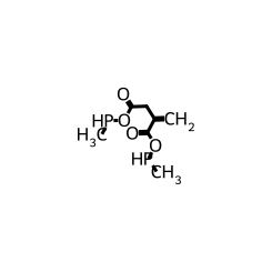 C=C(CC(=O)OPC)C(=O)OPC